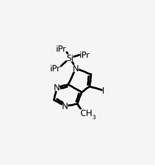 Cc1ncnc2c1c(I)cn2[Si](C(C)C)(C(C)C)C(C)C